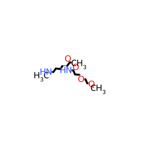 CNCCCC[C@@H](NC(=O)CCOCCOC)C(C)=O